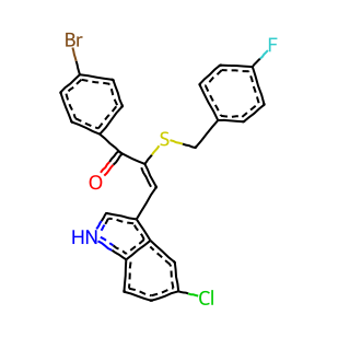 O=C(/C(=C\c1c[nH]c2ccc(Cl)cc12)SCc1ccc(F)cc1)c1ccc(Br)cc1